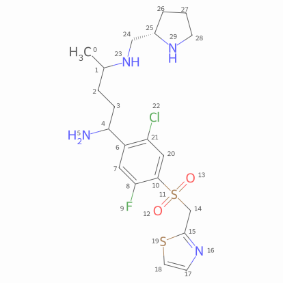 CC(CCC(N)c1cc(F)c(S(=O)(=O)Cc2nccs2)cc1Cl)NC[C@@H]1CCCN1